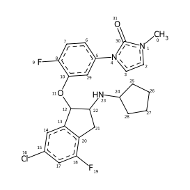 Cn1ccn(-c2ccc(F)c(OC3c4cc(Cl)cc(F)c4CC3NC3CCCC3)c2)c1=O